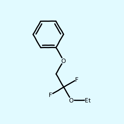 CCOC(F)(F)COc1ccccc1